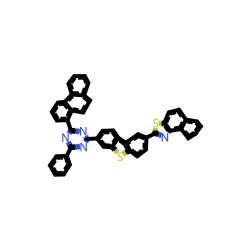 c1ccc(-c2nc(-c3ccc4c(c3)sc3ccc(-c5nc6c(ccc7ccccc76)s5)cc34)nc(-c3cccc4c3ccc3ccccc34)n2)cc1